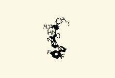 C[C@@H](N)CNC(=O)c1cnn2ccc(N3CCCC3c3cc(F)ccc3F)nc12